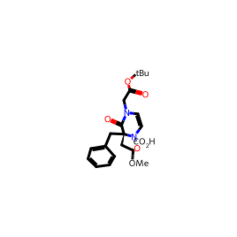 COC(=O)C[C@@]1(Cc2ccccc2)C(=O)N(CC(=O)OC(C)(C)C)C=CN1C(=O)O